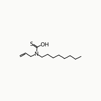 C=CCN(CCCCCCCC)C(O)=S